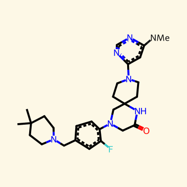 CNc1cc(N2CCC3(CC2)CN(c2ccc(CN4CCC(C)(C)CC4)cc2F)CC(=O)N3)ncn1